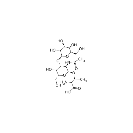 CC(=O)N[C@H]1[C@@H](OC(C)C(N)C(=O)O)O[C@H](CO)[C@H](O)[C@@H]1O[C@@H]1O[C@H](CO)[C@H](O)[C@H](O)[C@H]1O